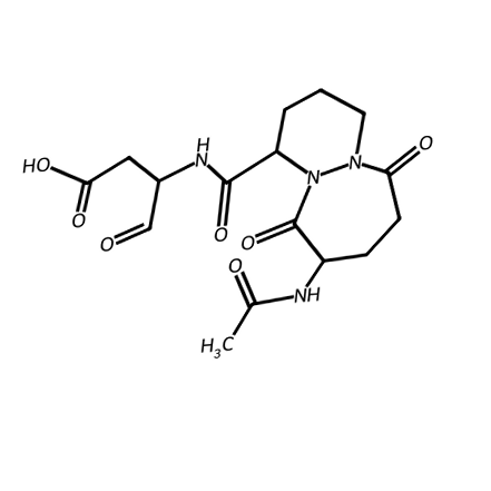 CC(=O)NC1CCC(=O)N2CCCC(C(=O)NC(C=O)CC(=O)O)N2C1=O